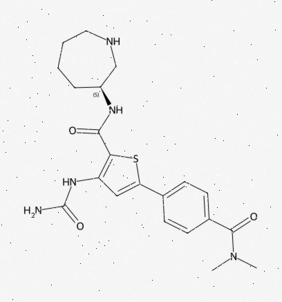 CN(C)C(=O)c1ccc(-c2cc(NC(N)=O)c(C(=O)N[C@H]3CCCCNC3)s2)cc1